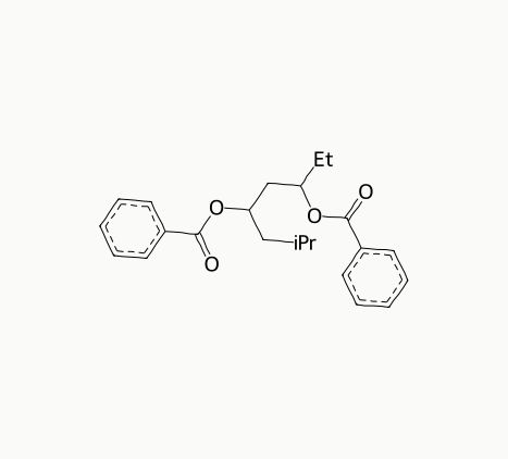 CCC(CC(CC(C)C)OC(=O)c1ccccc1)OC(=O)c1ccccc1